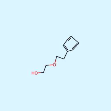 OCCOCCc1c[c]ccc1